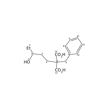 CCC(O)CCC(Cc1ccccc1)(C(=O)O)C(=O)O